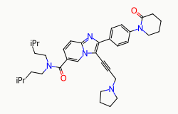 CC(C)CCN(CCC(C)C)C(=O)c1ccc2nc(-c3ccc(N4CCCCC4=O)cc3)c(C#CCN3CCCC3)n2c1